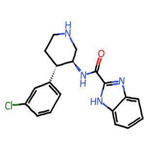 O=C(N[C@@H]1CNCC[C@H]1c1cccc(Cl)c1)c1nc2ccccc2[nH]1